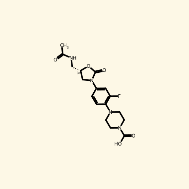 CC(=O)NC[C@H]1CN(c2ccc(N3CCN(C(=O)O)CC3)c(F)c2)C(=O)O1